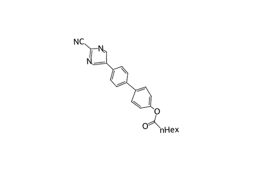 CCCCCCC(=O)Oc1ccc(-c2ccc(-c3cnc(C#N)nc3)cc2)cc1